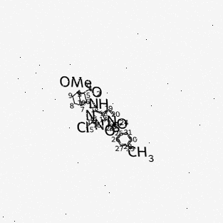 COC(=O)C1C2CCC(CC2)C1Nc1nc(Cl)nc2c1ccn2S(=O)(=O)c1ccc(C)cc1